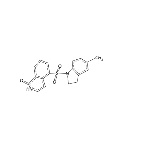 Cc1ccc2c(c1)CCN2S(=O)(=O)c1cccc2c(=O)[nH]ccc12